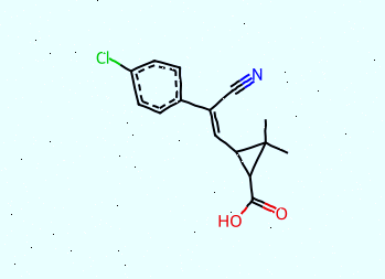 CC1(C)C(/C=C(\C#N)c2ccc(Cl)cc2)C1C(=O)O